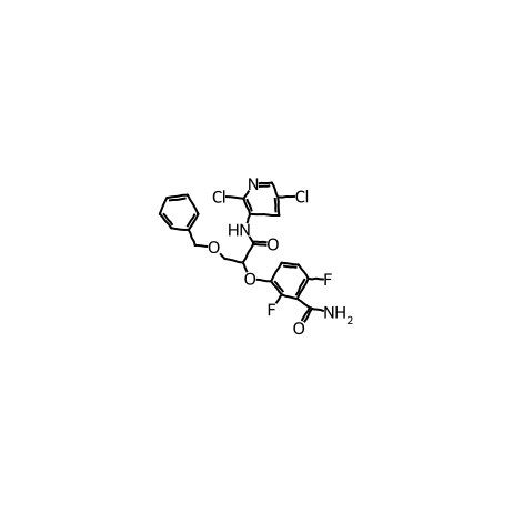 NC(=O)c1c(F)ccc(OC(COCc2ccccc2)C(=O)Nc2cc(Cl)cnc2Cl)c1F